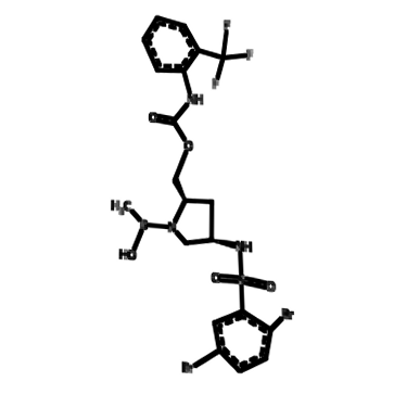 CB(O)N1C[C@H](NS(=O)(=O)c2cc(Br)ccc2Br)C[C@@H]1COC(=O)Nc1ccccc1C(F)(F)F